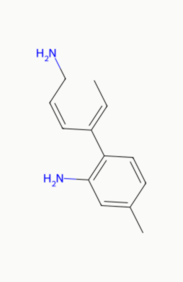 C/C=C(\C=C/CN)c1ccc(C)cc1N